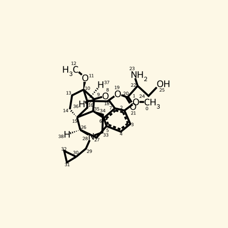 COc1ccc2c3c1O[C@H]1[C@@]4(OC)CC[C@@]5(C[C@@H]4COC(=O)C(N)CO)[C@@H](C2)N(CC2CC2)CC[C@]315